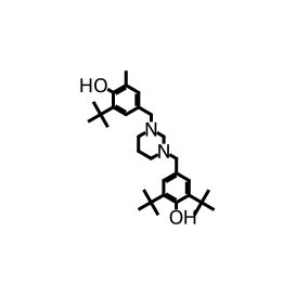 Cc1cc(CN2CCCN(Cc3cc(C(C)(C)C)c(O)c(C(C)(C)C)c3)C2)cc(C(C)(C)C)c1O